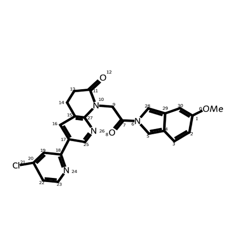 COc1ccc2cn(C(=O)CN3C(=O)CCc4cc(-c5cc(Cl)ccn5)cnc43)cc2c1